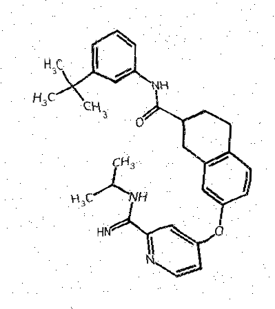 CC(C)NC(=N)c1cc(Oc2ccc3c(c2)CC(C(=O)Nc2cccc(C(C)(C)C)c2)CC3)ccn1